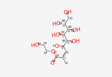 CC(=CC(=O)[C@H](O)[C@@H](O)[C@H](O)[C@H](O)CO)C(=O)OCCO